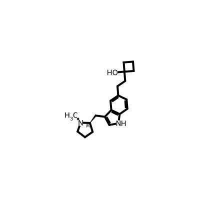 CN1CCC[C@@H]1Cc1c[nH]c2ccc(CCC3(O)CCC3)cc12